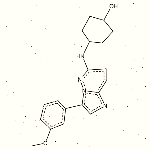 COc1cccc(-c2cnc3ccc(NC4CCC(O)CC4)nn23)c1